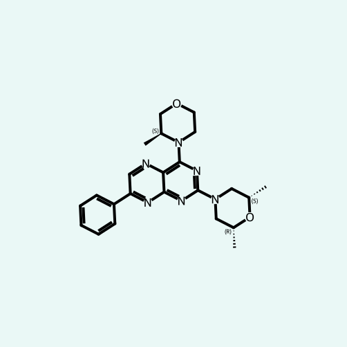 C[C@@H]1CN(c2nc(N3CCOC[C@@H]3C)c3ncc(-c4ccccc4)nc3n2)C[C@H](C)O1